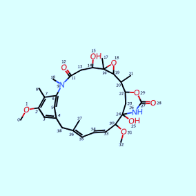 COc1cc2cc(c1C)N(C)C(=O)CC(O)C1(C)OC1C(C)C1CC(O)(NC(=O)O1)C(OC)/C=C/C=C(\C)C2